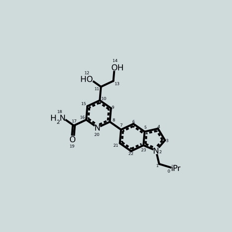 CC(C)Cn1ccc2cc(-c3cc(C(O)CO)cc(C(N)=O)n3)ccc21